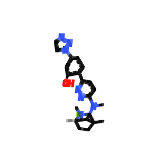 CN(c1ccc(-c2ccc(-n3ccnn3)cc2O)nn1)C1C(F)[C@@]2(C)CCC1(C)CN2C